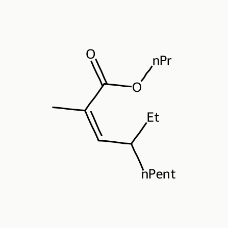 CCCCCC(C=C(C)C(=O)OCCC)CC